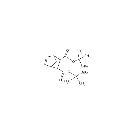 CC(C)COC(C)(C)OC(=O)C1C2C=CC(C2)C1C(=O)OC(C)(C)OCC(C)C